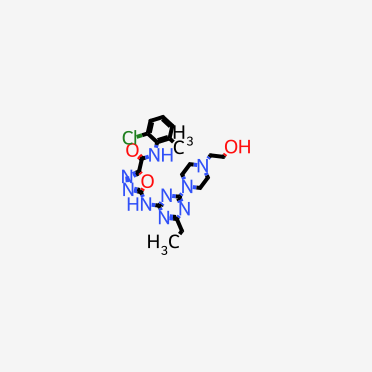 CCc1nc(Nc2nnc(C(=O)Nc3c(C)cccc3Cl)o2)nc(N2CCN(CCO)CC2)n1